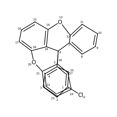 Clc1cccc(C23c4ccccc4Oc4cccc(c42)Oc2ccccc23)c1